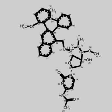 COc1ccccc1-c1cc2ccccc2c(COC[C@H]2O[C@@H](n3ccc(NC(C)=O)nc3=O)C[C@]2(O)P(OC)N(C)C)c1-c1ccccc1OC